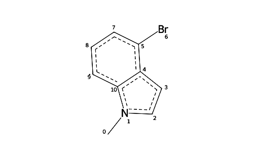 Cn1ccc2c(Br)cc[c]c21